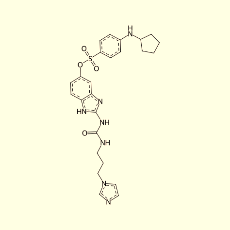 O=C(NCCCn1ccnc1)Nc1nc2cc(OS(=O)(=O)c3ccc(NC4CCCC4)cc3)ccc2[nH]1